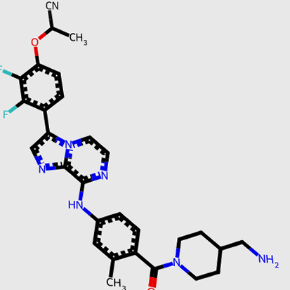 Cc1cc(Nc2nccn3c(-c4ccc(OC(C)C#N)c(F)c4F)cnc23)ccc1C(=O)N1CCC(CN)CC1